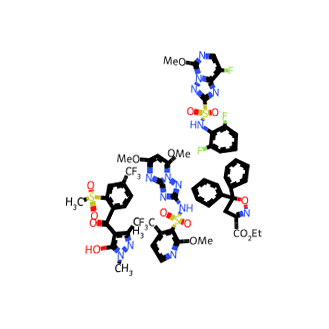 CCOC(=O)C1=NOC(c2ccccc2)(c2ccccc2)C1.COc1cc(OC)n2nc(NS(=O)(=O)c3c(C(F)(F)F)ccnc3OC)nc2n1.COc1ncc(F)c2nc(S(=O)(=O)Nc3c(F)cccc3F)nn12.Cc1nn(C)c(O)c1C(=O)c1ccc(C(F)(F)F)cc1S(C)(=O)=O